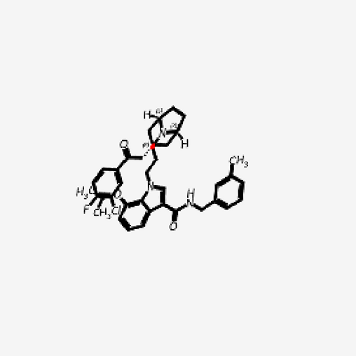 Cc1cccc(CNC(=O)c2cn(CCCN3[C@@H]4CC[C@H]3C[C@@H](CC(=O)c3ccc(F)c(Cl)c3)C4)c3c(OC(C)C)cccc23)c1